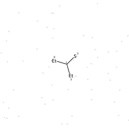 C[CH]C([S])CC